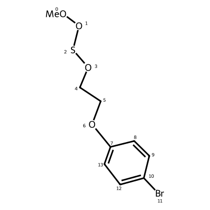 COOSOCCOc1ccc(Br)cc1